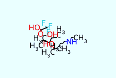 CC(C)O.CCCCCC.CCNCC.CO.O=C(O)C(F)(F)F